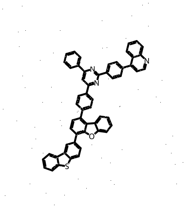 c1ccc(-c2cc(-c3ccc(-c4ccc(-c5ccc6sc7ccccc7c6c5)c5oc6ccccc6c45)cc3)nc(-c3ccc(-c4ccnc5ccccc45)cc3)n2)cc1